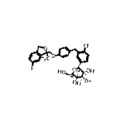 CC1(COc2ccc(Cc3cc([C@@H]4O[C@H](CO)[C@@H](O)[C@H](O)[C@H]4O)ccc3Cl)cc2)OCc2ccc(F)cc21